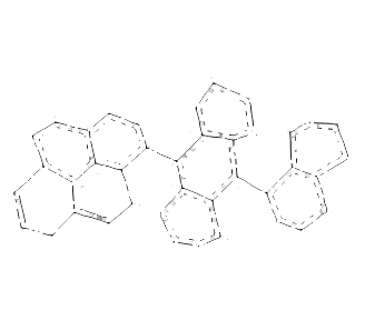 C1=Cc2ccc3ccc(-c4c5ccccc5c(-c5cccc6ccccc56)c5ncccc45)c4c3c2C(=CC4)C1